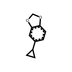 c1cc2c(cc1[C]1CC1)OCO2